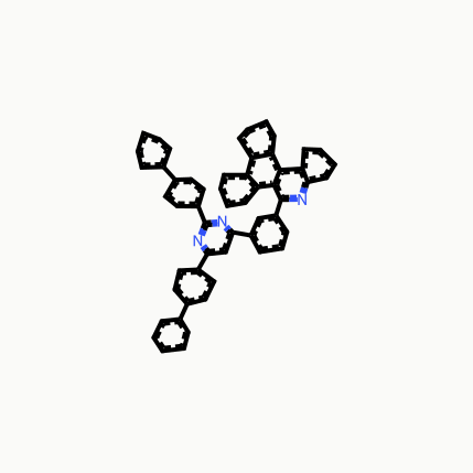 c1ccc(-c2ccc(-c3cc(-c4cccc(-c5nc6ccccc6c6c7ccccc7c7ccccc7c56)c4)nc(-c4ccc(-c5ccccc5)cc4)n3)cc2)cc1